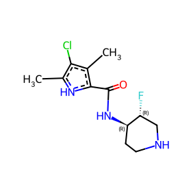 Cc1[nH]c(C(=O)N[C@@H]2CCNC[C@H]2F)c(C)c1Cl